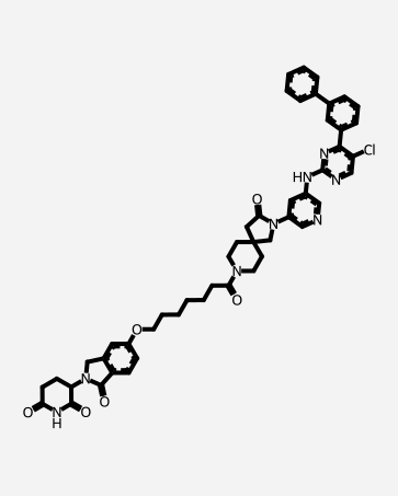 O=C1CCC(N2Cc3cc(OCCCCCCC(=O)N4CCC5(CC4)CC(=O)N(c4cncc(Nc6ncc(Cl)c(-c7cccc(-c8ccccc8)c7)n6)c4)C5)ccc3C2=O)C(=O)N1